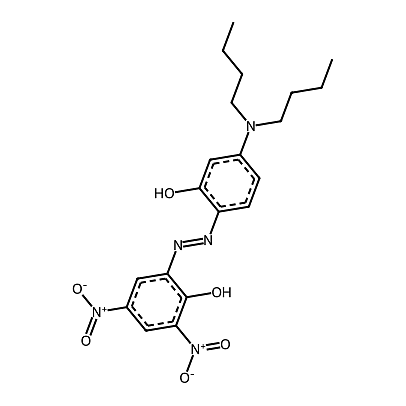 CCCCN(CCCC)c1ccc(N=Nc2cc([N+](=O)[O-])cc([N+](=O)[O-])c2O)c(O)c1